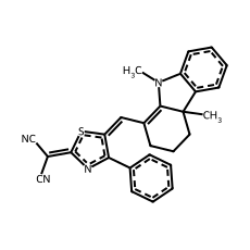 CN1C2=C(/C=c3/sc(=C(C#N)C#N)nc3-c3ccccc3)CCCC2(C)c2ccccc21